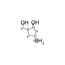 BC1CC(O)C(CO)C1